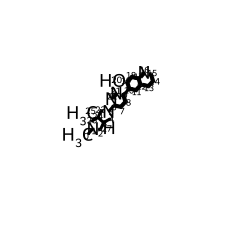 CN1C[C@@H]2CN(c3ccc(-c4cc5cccnc5cc4O)nn3)C[C@]2(C)C1